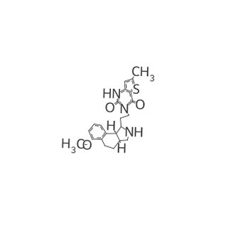 COc1cccc2c1CC[C@H]1CNC(CCn3c(=O)[nH]c4cc(C)sc4c3=O)[C@@H]21